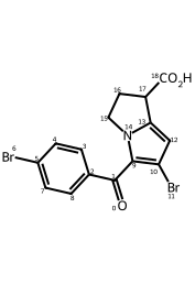 O=C(c1ccc(Br)cc1)c1c(Br)cc2n1CCC2C(=O)O